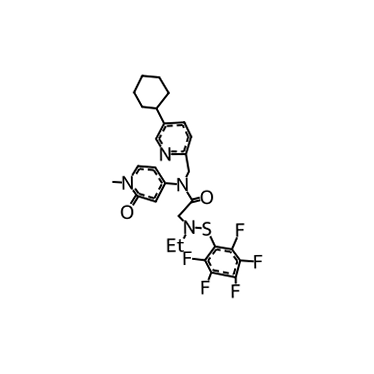 CCN(CC(=O)N(Cc1ccc(C2CCCCC2)cn1)c1ccn(C)c(=O)c1)Sc1c(F)c(F)c(F)c(F)c1F